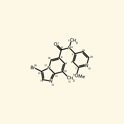 COc1cc(N(C)C(=O)c2cc(C)c3ncc(Br)n3c2)ccn1